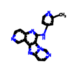 Cc1cc(Nc2nc3ccncc3c3nc4ccncn4c23)ccn1